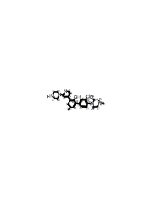 Cc1cc(-c2ccnc(N3CCNCC3)c2)c(O)c(-c2ccc(N(C=O)/C=C\N(C)C)c(Cl)c2)c1